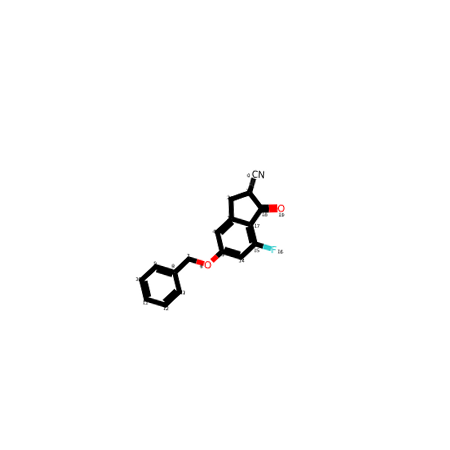 N#CC1Cc2cc(OCc3ccccc3)cc(F)c2C1=O